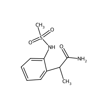 CC(C(N)=O)c1ccccc1NS(C)(=O)=O